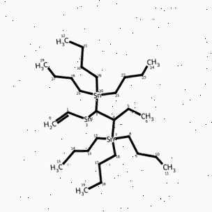 C=[CH][Sn][CH]([CH](CC)[Sn]([CH2]CCC)([CH2]CCC)[CH2]CCC)[Sn]([CH2]CCC)([CH2]CCC)[CH2]CCC